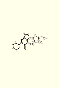 O=c1nc2c(cn1C1CCCCC1)ncn2[C@@H]1O[C@H](CO)[C@@H](O)[C@H]1O